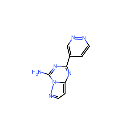 Nc1nc(-c2ccnnc2)nc2ccnn12